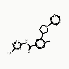 Cc1ccc(C(=O)Nc2nc(C(F)(F)F)no2)cc1C1CCN(c2cncnc2)C1